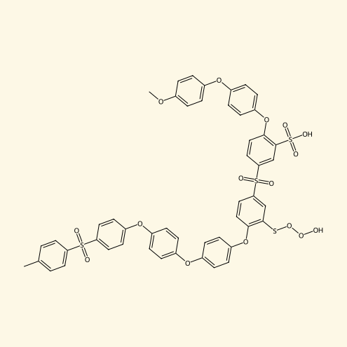 COc1ccc(Oc2ccc(Oc3ccc(S(=O)(=O)c4ccc(Oc5ccc(Oc6ccc(Oc7ccc(S(=O)(=O)c8ccc(C)cc8)cc7)cc6)cc5)c(SOOO)c4)cc3S(=O)(=O)O)cc2)cc1